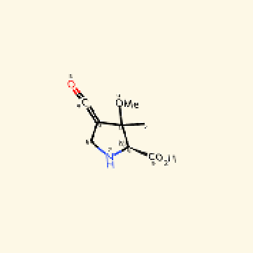 COC1(C)C(=C=O)CN[C@@H]1C(=O)O